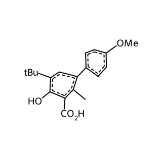 COc1ccc(-c2cc(C(C)(C)C)c(O)c(C(=O)O)c2C)cc1